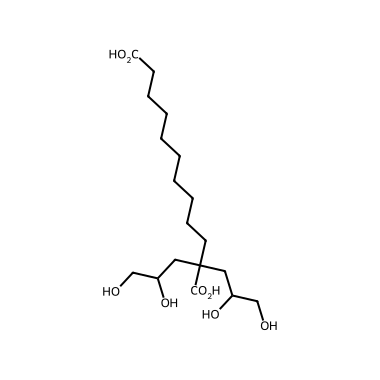 O=C(O)CCCCCCCCCC(CC(O)CO)(CC(O)CO)C(=O)O